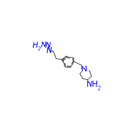 NN=NCCc1ccc(CN2CCC(N)CC2)cc1